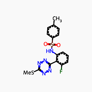 CSc1nnc(-c2c(F)cccc2NS(=O)(=O)c2ccc(C)cc2)nn1